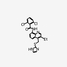 CCc1cnc2c(NC(=O)c3c(Cl)cccc3Cl)cccc2c1CSc1ncc[nH]1